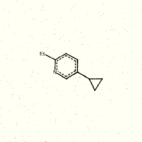 [CH2]Cc1ccc(C2CC2)cn1